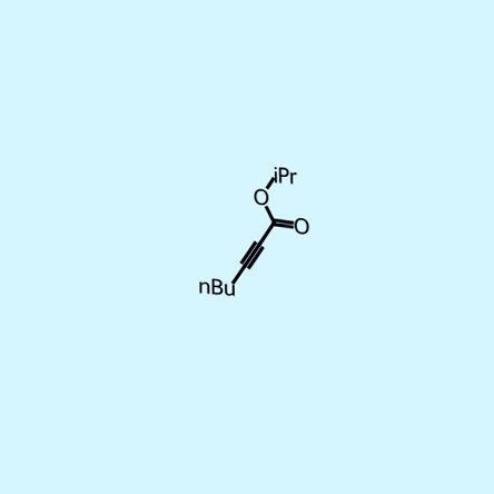 CCCCC#CC(=O)OC(C)C